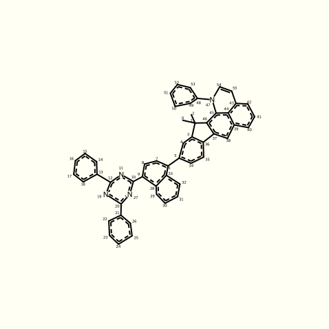 CC1(C)c2cc(-c3ccc(-c4nc(-c5ccccc5)nc(-c5ccccc5)n4)c4ccccc34)ccc2-c2cc3cccc4c3c(c21)N(c1ccccc1)C=C4